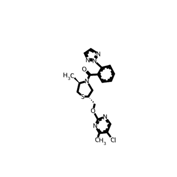 Cc1nc(OC[C@H]2CN(C(=O)c3ccccc3-n3nccn3)[C@H](C)CS2)ncc1Cl